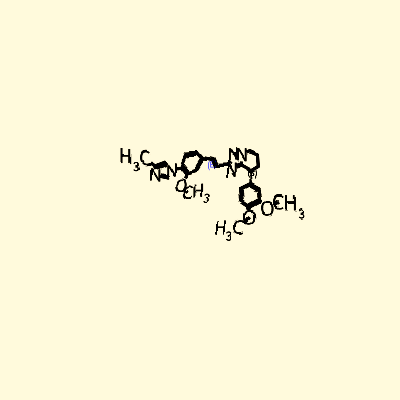 COc1ccc([C@@H]2CCCn3nc(/C=C/c4ccc(-n5cnc(C)c5)c(OC)c4)nc32)cc1OC